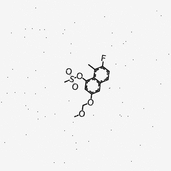 COCOc1cc(OS(C)(=O)=O)c2c(C)c(F)ccc2c1